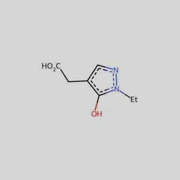 CCn1ncc(CC(=O)O)c1O